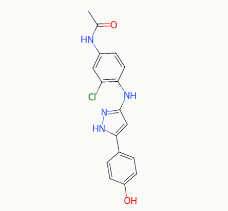 CC(=O)Nc1ccc(Nc2cc(-c3ccc(O)cc3)[nH]n2)c(Cl)c1